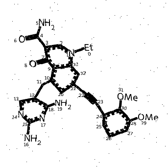 CCn1cc(C(N)=O)c(=O)c2c(Cc3cnc(N)nc3N)cc(C#Cc3cccc(OC)c3OC)cc21